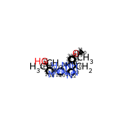 C=C(c1cc(N2CCN([C@H]3CC(C(C)(C)O)=CC=N3)CC2)ncn1)c1cc(OC2(C)CC2)ccc1NN